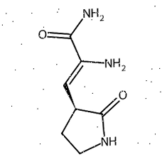 NC(=O)C(N)=C[C@@H]1CCNC1=O